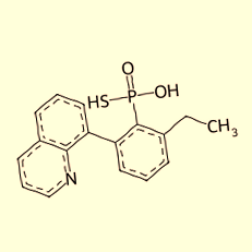 CCc1cccc(-c2cccc3cccnc23)c1P(=O)(O)S